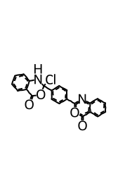 O=C1OC(Cl)(c2ccc(-c3nc4ccccc4c(=O)o3)cc2)Nc2ccccc21